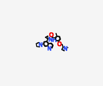 Cc1ccc(OCC2CCN2C)cc1C(=O)NC1(c2cc(N3CCCC3)cc3ncccc23)CC1